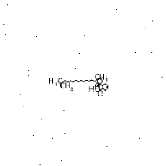 CC(C)CCCCCCCCCCCCC(C)OC(=O)C1CC=CCC1C(=O)O